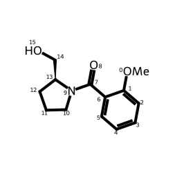 COc1ccccc1C(=O)N1CCC[C@H]1CO